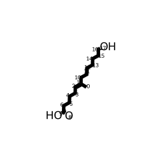 C/C(=C\CCCCC(=O)O)CCCCCCCO